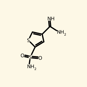 N=C(N)c1csc(S(N)(=O)=O)c1